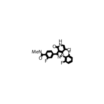 CNC(=O)c1ccc(-c2nn(-c3c(F)cccc3F)c3c(Cl)c[nH]c(=O)c23)cc1F